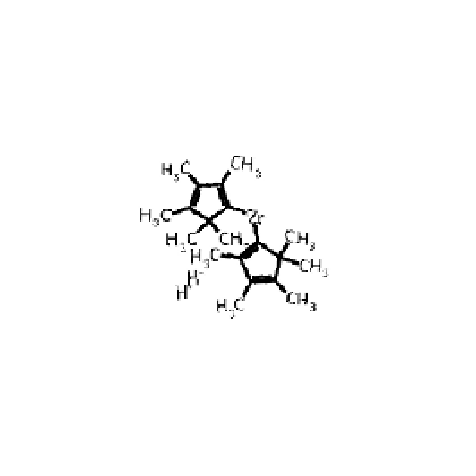 CC1=C(C)C(C)(C)[C]([Zr][C]2=C(C)C(C)=C(C)C2(C)C)=C1C.[H-].[H-]